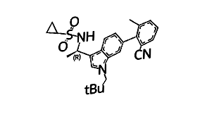 Cc1cccc(C#N)c1-c1ccc2c([C@@H](C)NS(=O)(=O)C3CC3)cn(CC(C)(C)C)c2c1